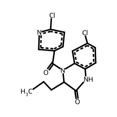 CCCC1C(=O)Nc2ccc(Cl)cc2N1C(=O)c1ccc(Cl)nc1